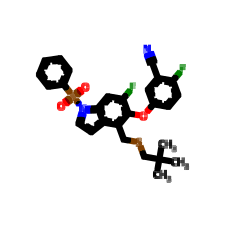 CC(C)(C)CSCc1c(Oc2ccc(F)c(C#N)c2)c(F)cc2c1ccn2S(=O)(=O)c1ccccc1